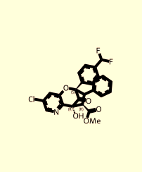 COC(=O)[C@@H]1C(c2ccccc2)[C@@]2(c3ccc(C(F)F)cc3)Oc3cc(Cl)cnc3[C@@]1(O)C2=O